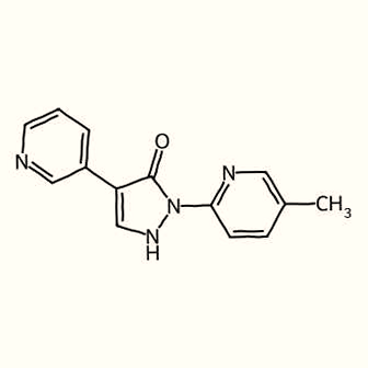 Cc1ccc(-n2[nH]cc(-c3cccnc3)c2=O)nc1